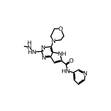 CNNc1nc(N2CCOCC2)c2[nH]c(C(=O)Nc3cccnc3)cc2n1